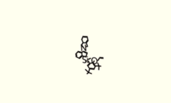 C=CCOc1c(C(C)(C)C)cc(C(C)(C)C)cc1[Si](C)(C)C1C=C(N2CC3=CC=CCC3C2)c2ccccc21